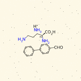 N.NCCC[C@H](N)C(=O)O.O=Cc1ccc(-c2ccccc2)cc1.[H+]